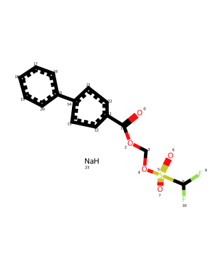 O=C(OCOS(=O)(=O)C(F)F)c1ccc(-c2ccccc2)cc1.[NaH]